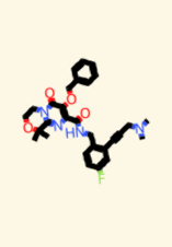 CN(C)CC#Cc1cc(F)ccc1CNC(=O)c1nc2n(c(=O)c1OCc1ccccc1)CCOC2(C)C